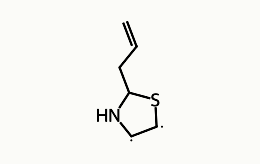 C=CCC1N[CH][CH]S1